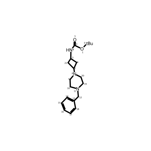 CC(C)(C)OC(=O)NC1CC(N2CCN(Cc3ccccc3)CC2)C1